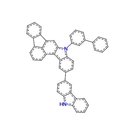 c1ccc(-c2cccc(-n3c4ccc(-c5ccc6[nH]c7ccccc7c6c5)cc4c4c5cccc6c5c(cc43)-c3ccccc3-6)c2)cc1